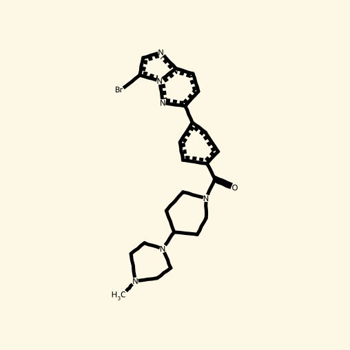 CN1CCN(C2CCN(C(=O)c3ccc(-c4ccc5ncc(Br)n5n4)cc3)CC2)CC1